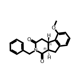 COc1cccc2c1[C@H]1CC(=O)N(Cc3ccccc3)C(=O)[C@@H]1C2